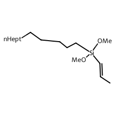 CC=C[Si](CCCCCCCCCCCC)(OC)OC